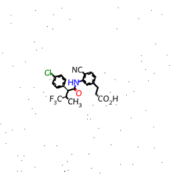 C[C@H]([C@H](C(=O)Nc1cc(CCC(=O)O)ccc1C#N)c1ccc(Cl)cc1)C(F)(F)F